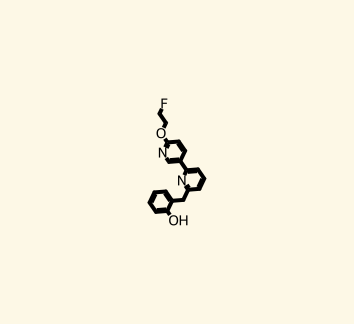 Oc1ccccc1Cc1cccc(-c2ccc(OCCF)nc2)n1